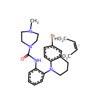 CN1CCN(C(=O)Nc2ccccc2N2CCCc3cc(Br)ccc32)CC1.O=C(O)/C=C\C(=O)O